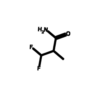 CC(C(N)=O)C(F)F